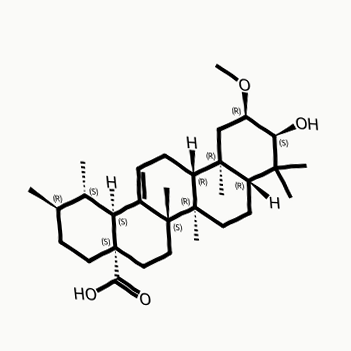 CO[C@@H]1C[C@]2(C)[C@H]3CC=C4[C@@H]5[C@@H](C)[C@H](C)CC[C@]5(C(=O)O)CC[C@@]4(C)[C@]3(C)CC[C@H]2C(C)(C)[C@@H]1O